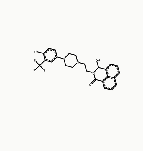 O=C1c2cccc3cccc(c23)C(O)N1CCN1CCN(c2ccc(Cl)c(C(F)(F)F)c2)CC1